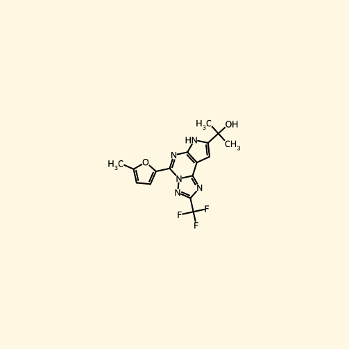 Cc1ccc(-c2nc3[nH]c(C(C)(C)O)cc3c3nc(C(F)(F)F)nn23)o1